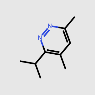 Cc1cc(C)c(C(C)C)nn1